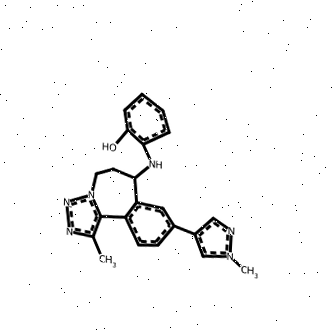 Cc1nnn2c1-c1ccc(-c3cnn(C)c3)cc1C(Nc1ccccc1O)CC2